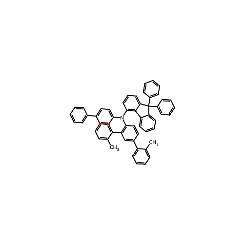 Cc1ccccc1-c1ccc(N(c2ccc(-c3ccccc3)cc2)c2cccc3c2-c2ccccc2C3(c2ccccc2)c2ccccc2)c(-c2ccccc2C)c1